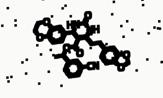 CC(OC(=O)C1=C(CCc2ccc3c(c2)OCO3)NC(=O)NC1c1ccc2c(c1)OCCO2)c1cccc(C#N)c1